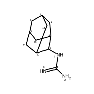 N=C(N)NC1C2CC3CC(C2)CC1C3